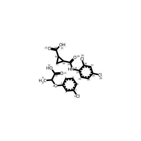 CC(Oc1cccc(Cl)c1)C(=O)O.O=C(O)C1CC1C(=O)Nc1ccc(Cl)cc1Cl